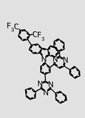 FC(F)(F)c1ccc(-c2ccc3c(c2)c2ccccc2n3-c2ccc(-c3nc(-c4ccccc4)nc(-c4ccccc4)n3)cc2-c2cc(-c3ccccc3)nc(-c3ccccc3)n2)c(C(F)(F)F)c1